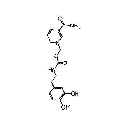 NC(=O)C1=CN(COC(=O)NCCc2ccc(O)c(O)c2)CC=C1